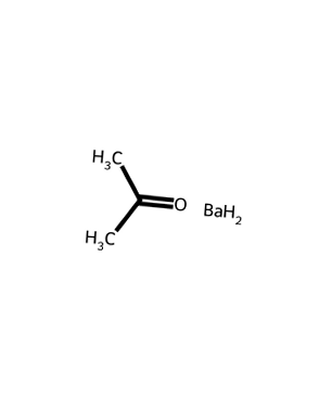 CC(C)=O.[BaH2]